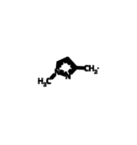 [CH2]c1ccn(C)n1